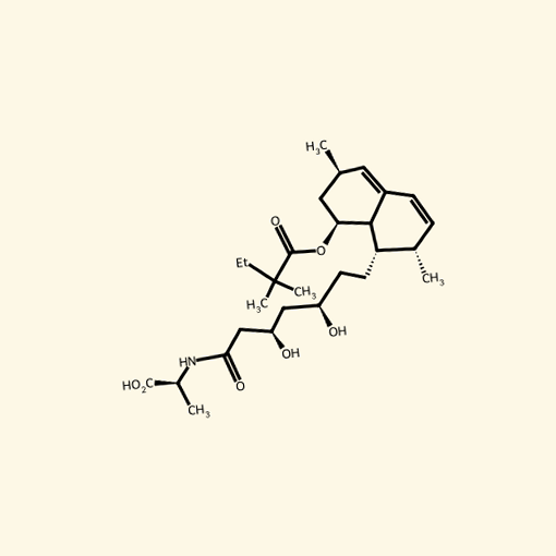 CCC(C)(C)C(=O)O[C@H]1C[C@@H](C)C=C2C=C[C@H](C)[C@H](CC[C@@H](O)C[C@@H](O)CC(=O)N[C@@H](C)C(=O)O)C21